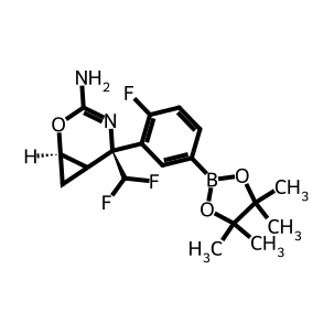 CC1(C)OB(c2ccc(F)c([C@@]3(C(F)F)N=C(N)O[C@@H]4CC43)c2)OC1(C)C